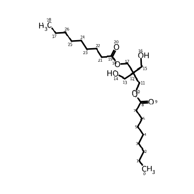 CCCCCCCCC(=O)OCC(CO)(CO)COC(=O)CCCCCCCC